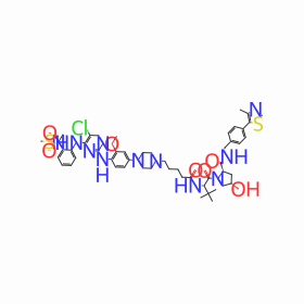 COc1cc(N2CCN(CCCCC(=O)N[C@H](C(=O)N3C[C@H](O)C[C@@H]3C(=O)NCc3ccc(-c4scnc4C)cc3)C(C)(C)C)CC2)ccc1Nc1ncc(Cl)c(Nc2ccccc2N(C)S(C)(=O)=O)n1